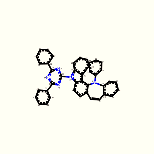 C1=Cc2ccc3c(c2N(c2ccccc2)c2ccccc21)c1ccccc1n3-c1nc(-c2ccccc2)nc(-c2ccccc2)n1